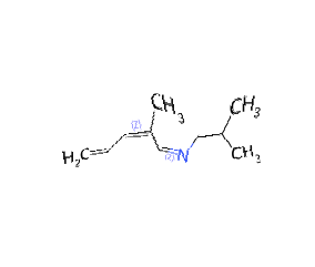 C=C/C=C(C)\C=N/CC(C)C